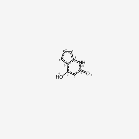 O=c1cc(O)c2cscc2[nH]1